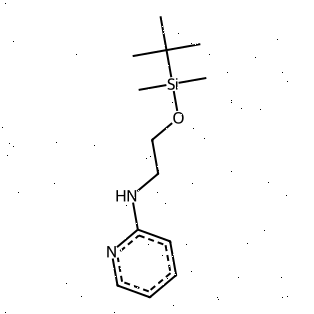 CC(C)(C)[Si](C)(C)OCCNc1ccccn1